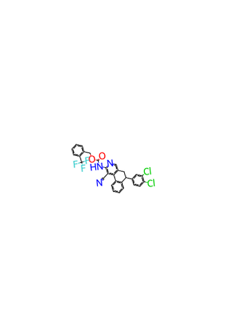 N#Cc1c(NC(=O)OCc2ccccc2C(F)(F)F)ncc2c1-c1ccccc1C(c1ccc(Cl)c(Cl)c1)C2